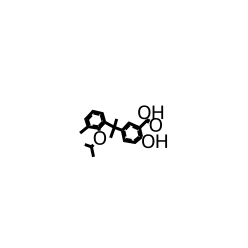 Cc1cccc(C(C)(C)c2ccc(O)c(C(=O)O)c2)c1OC(C)C